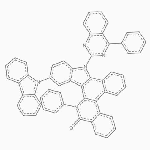 O=c1c2ccccc2c2c3ccccc3c3c(c4cc(-n5c6ccccc6c6ccccc65)ccc4n3-c3nc(-c4ccccc4)c4ccccc4n3)c2n1-c1ccccc1